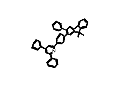 CC1(C)c2ccccc2-c2cc(-c3ccccc3)c(-c3ccc(-c4cc(-c5ccccc5)cc(-c5ccccc5)n4)cc3)cc21